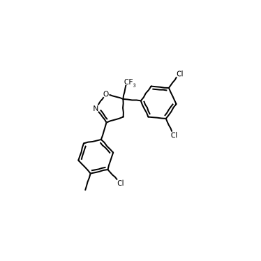 Cc1ccc(C2=NOC(c3cc(Cl)cc(Cl)c3)(C(F)(F)F)C2)cc1Cl